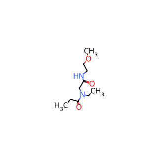 CCC(=O)N(CC)CC(=O)NCCOC